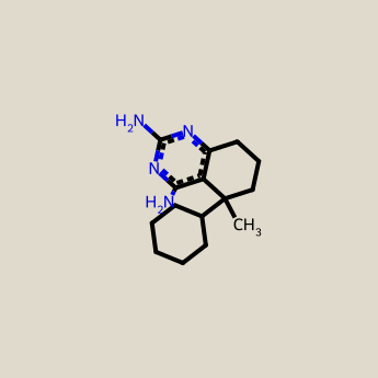 CC1(C2CCCCC2)CCCc2nc(N)nc(N)c21